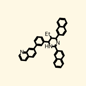 CCC1C(c2ccc3ccccc3c2)N=C(c2ccc3ccccc3c2)NC1c1cccc(-c2ccc3cccnc3c2)c1